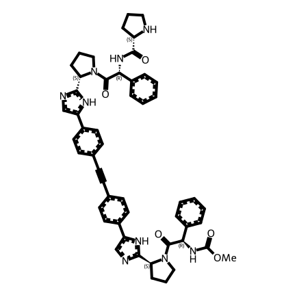 COC(=O)N[C@@H](C(=O)N1CCC[C@H]1c1ncc(-c2ccc(C#Cc3ccc(-c4cnc([C@@H]5CCCN5C(=O)[C@H](NC(=O)[C@@H]5CCCN5)c5ccccc5)[nH]4)cc3)cc2)[nH]1)c1ccccc1